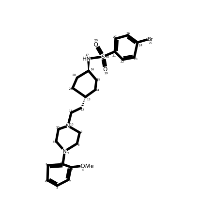 COc1ccccc1N1CCN(CC[C@H]2CC[C@H](NS(=O)(=O)c3ccc(Br)cc3)CC2)CC1